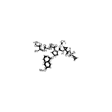 C=C[C@@H]1C[C@]1(NC(=O)[C@@H]1C[C@@H](Oc2nccc3cc(OC)ccc23)CN1C(=O)[C@@H](NC(=O)N[C@H](C(=O)OC(C)(C)C)C(C)C)C(C)(C)C)C(=O)NS(=O)(=O)C1CC1